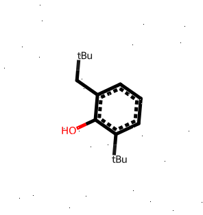 CC(C)(C)Cc1cccc(C(C)(C)C)c1O